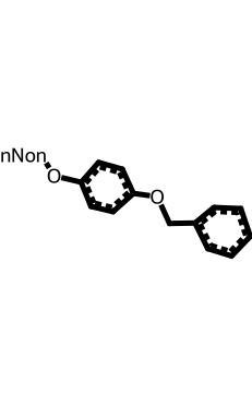 [CH2]CCCCCCCCOc1ccc(OCc2ccccc2)cc1